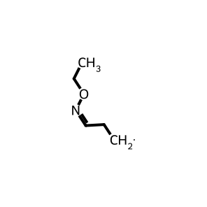 [CH2]C/C=N\OCC